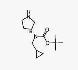 CC(C)(C)OC(=O)N(CC1CC1)[C@@H]1CCNC1